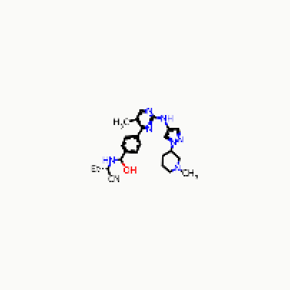 CC[C@@H](C#N)NC(O)c1ccc(-c2nc(Nc3cnn(C4CCCN(C)C4)c3)ncc2C)cc1